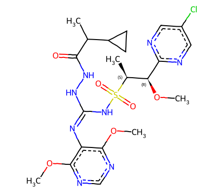 COc1ncnc(OC)c1N=C(NNC(=O)C(C)C1CC1)NS(=O)(=O)[C@@H](C)[C@H](OC)c1ncc(Cl)cn1